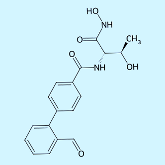 C[C@@H](O)[C@H](NC(=O)c1ccc(-c2ccccc2C=O)cc1)C(=O)NO